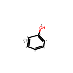 Oc1ccccc1.[CsH]